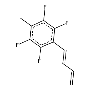 C=CC=Cc1c(F)c(F)c(C)c(F)c1F